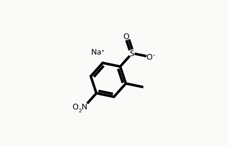 Cc1cc([N+](=O)[O-])ccc1S(=O)[O-].[Na+]